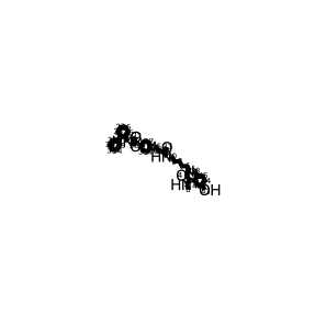 CNCC(=O)N(CCCCCNC(=O)CCN1CCC(OC(=O)Nc2ccccc2-c2ccccc2)CC1)Cc1ccc(O)cc1